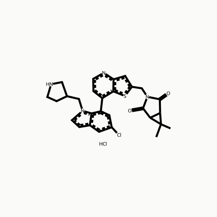 CC1(C)C2C(=O)N(Cc3cc4nccc(-c5cc(Cl)cc6ccn(CC7CCNC7)c56)c4s3)C(=O)C21.Cl